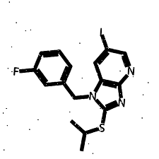 CC(C)Sc1nc2ncc(I)cc2n1Cc1cccc(F)c1